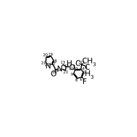 CC(C)(C)c1cc(F)ccc1OC1CN(C(=O)c2ccccn2)C1